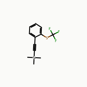 C[Si](C)(C)C#Cc1cc[c]cc1SC(F)(F)F